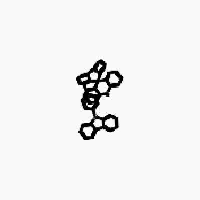 c1ccc2c(c1)Sc1ccccc1C21c2ccccc2-c2cccc(-c3ccc(-n4c5ccccc5c5ccccc54)cc3)c21